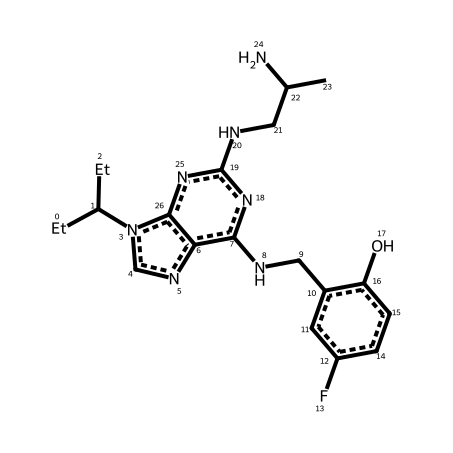 CCC(CC)n1cnc2c(NCc3cc(F)ccc3O)nc(NCC(C)N)nc21